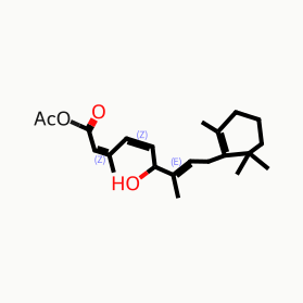 CC(=O)OC(=O)/C=C(C)\C=C/C(O)/C(C)=C/CC1=C(C)CCCC1(C)C